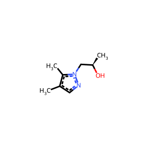 Cc1cnn(C[C@@H](C)O)c1C